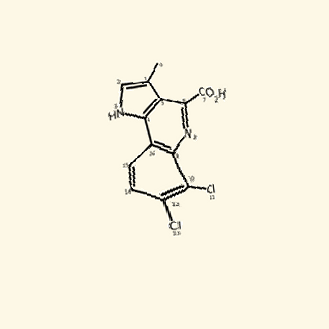 Cc1c[nH]c2c1c(C(=O)O)nc1c(Cl)c(Cl)ccc12